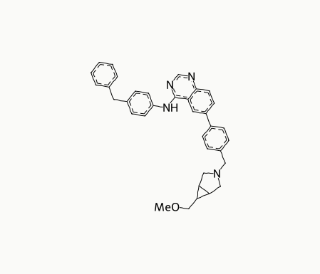 COCC1C2CN(Cc3ccc(-c4ccc5ncnc(Nc6ccc(Cc7ccccc7)cc6)c5c4)cc3)CC12